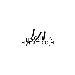 CC(=O)O.CC(=O)O.CC(=O)O.N.[Ni]